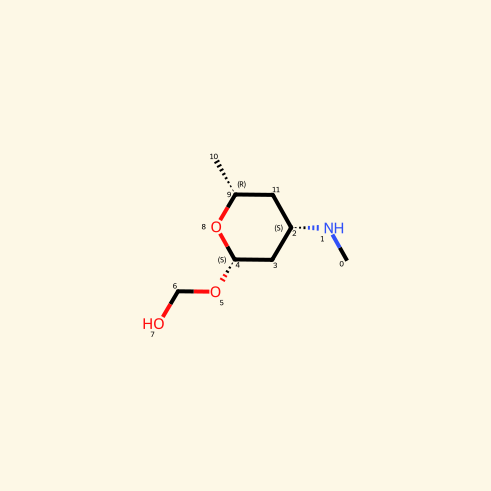 CN[C@@H]1C[C@H](OCO)O[C@H](C)C1